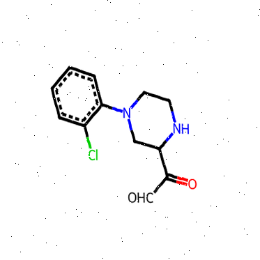 O=CC(=O)C1CN(c2ccccc2Cl)CCN1